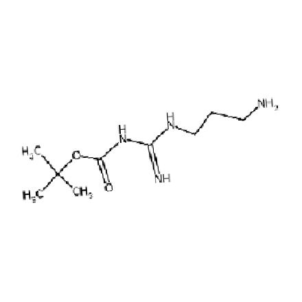 CC(C)(C)OC(=O)NC(=N)NCCCN